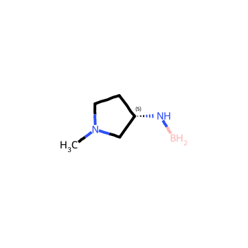 BN[C@H]1CCN(C)C1